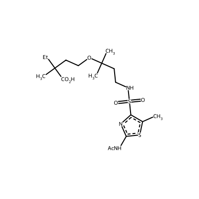 CCC(C)(CCOC(C)(C)CCNS(=O)(=O)c1nc(NC(C)=O)sc1C)C(=O)O